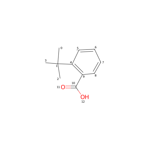 CC(C)(C)c1[c]cccc1C(=O)O